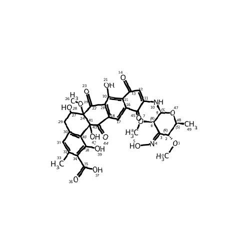 CO[C@@H]1C(=NO)[C@@H](OC)[C@@H](NC2=CC(=O)c3c(cc4c(c3O)C(=O)C3(OC)C(O)Cc5cc(C)c(C(=O)O)c(O)c5C3(O)C4=O)C2=O)O[C@H]1C